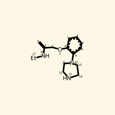 C=C(COc1ccccc1N1CCNCC1)NCC